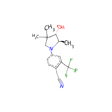 C[C@@H]1[C@@H](O)C(C)(C)CN1c1ccc(C#N)c(C(F)(F)F)c1